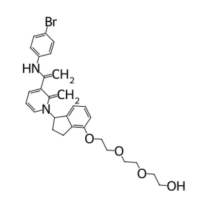 C=C(Nc1ccc(Br)cc1)C1=CC=CN(C2CCc3c(OCCOCCOCCO)cccc32)C1=C